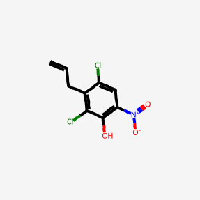 C=CCc1c(Cl)cc([N+](=O)[O-])c(O)c1Cl